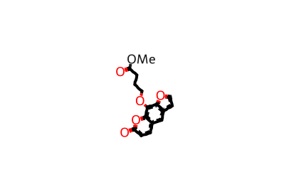 COC(=O)CCCOc1c2occc2cc2ccc(=O)oc12